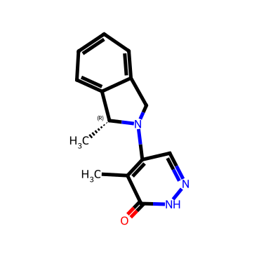 Cc1c(N2Cc3ccccc3[C@H]2C)cn[nH]c1=O